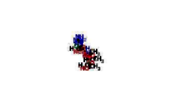 CC(C)OC(=O)[C@@H](C)N[P@@](=O)(OCCSC(=O)C(C)(C)CO)OC[C@H]1O[C@@H](n2cnc3c(N)ncnc32)[C@](C)(Cl)[C@@H]1O